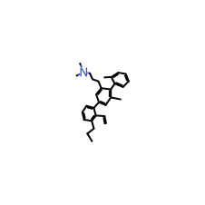 C=Cc1c(CCC)cccc1-c1cc(C)c(-c2ccccc2C)c(CCCN(C)C)c1